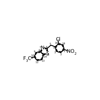 O=[N+]([O-])c1ccc(Cc2nc3cc(C(F)(F)F)ccc3s2)c(Cl)c1